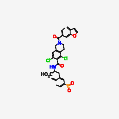 C=C/C(=C\C(=C/C)P(=O)=O)C[C@H](NC(=O)c1c(Cl)cc2c(c1Cl)CCN(C(=O)C(=C/C)/C=c1/occc1=C)C2)C(=O)O